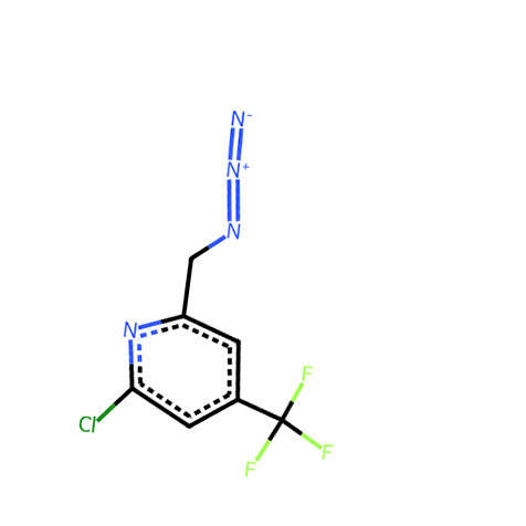 [N-]=[N+]=NCc1cc(C(F)(F)F)cc(Cl)n1